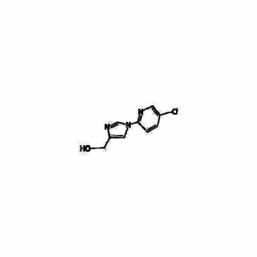 OCc1cn(-c2ccc(Cl)cn2)cn1